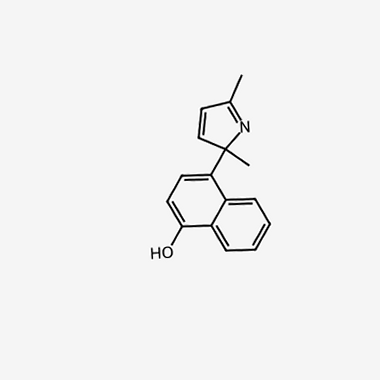 CC1=NC(C)(c2ccc(O)c3ccccc23)C=C1